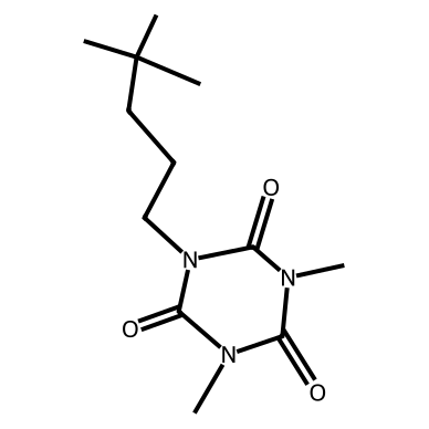 Cn1c(=O)n(C)c(=O)n(CCCC(C)(C)C)c1=O